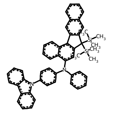 C[Si](C)(C)C1([Si](C)(C)C)c2cc3ccccc3cc2-c2c1cc(N(c1ccccc1)c1ccc(-n3c4ccccc4c4ccccc43)cc1)c1ccccc21